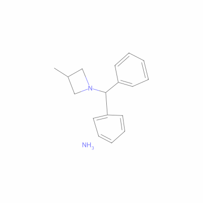 CC1CN(C(c2ccccc2)c2ccccc2)C1.N